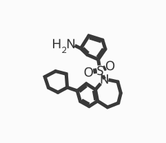 Nc1cccc(S(=O)(=O)N2CCCCc3ccc(C4CCCCC4)cc32)c1